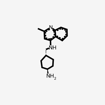 Cc1cc(NC[C@H]2CC[C@H](N)CC2)c2ccccc2n1